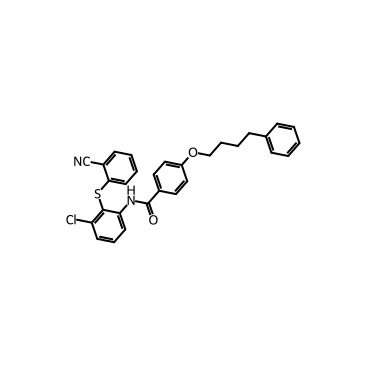 N#Cc1ccccc1Sc1c(Cl)cccc1NC(=O)c1ccc(OCCCCc2ccccc2)cc1